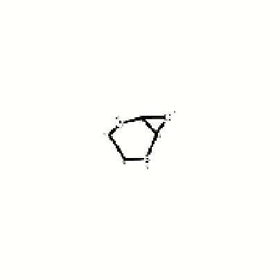 C1CSC2OC2S1